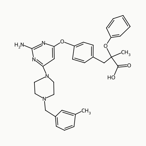 Cc1cccc(CN2CCN(c3cc(Oc4ccc(CC(C)(Oc5ccccc5)C(=O)O)cc4)nc(N)n3)CC2)c1